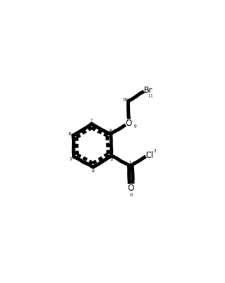 O=C(Cl)c1ccccc1OCBr